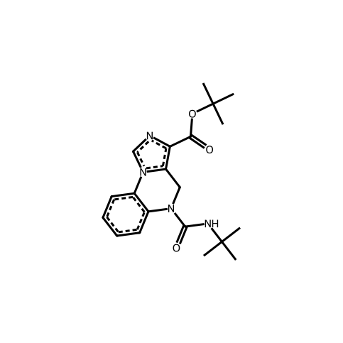 CC(C)(C)NC(=O)N1Cc2c(C(=O)OC(C)(C)C)ncn2-c2ccccc21